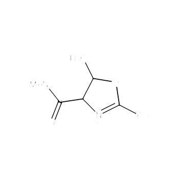 CNC(=O)C1N=C(C)OC1C